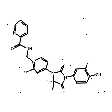 CC1(C)C(=O)N(c2ccc(C#N)c(Cl)c2)C(=S)N1c1ccc(CNC(=O)c2ccccn2)c(F)c1